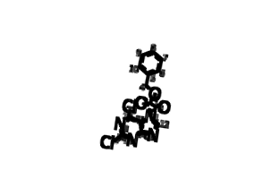 O=S(=O)(OCc1ccccc1)n1cnc2nc(Cl)nc(Cl)c21